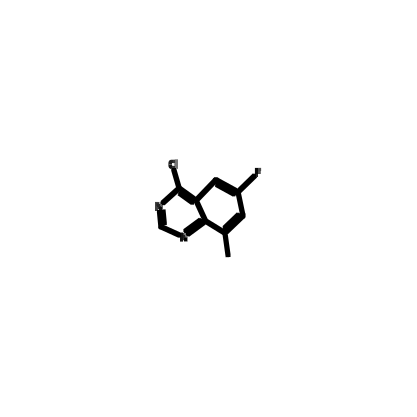 Cc1cc(F)cc2c(Cl)ncnc12